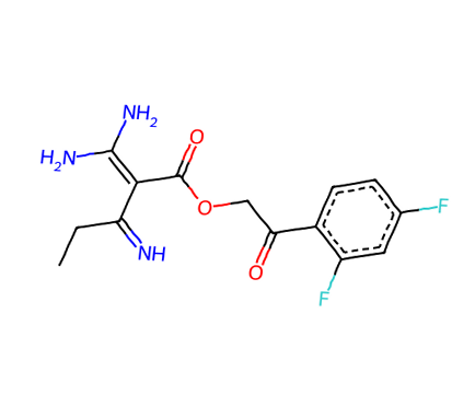 CCC(=N)C(C(=O)OCC(=O)c1ccc(F)cc1F)=C(N)N